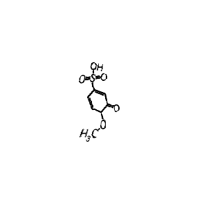 COC1C=CC(S(=O)(=O)O)=CC1=O